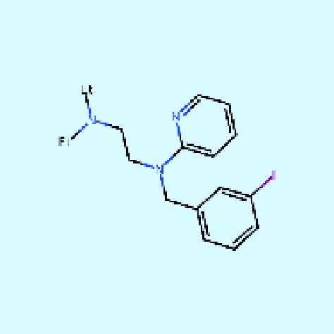 CCN(CC)CCN(Cc1cccc(I)c1)c1ccccn1